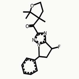 CC1(C)OCCC1(C)C(=O)c1nc2n(n1)C(c1ccccc1)CC2F